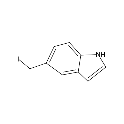 ICc1ccc2[nH]ccc2c1